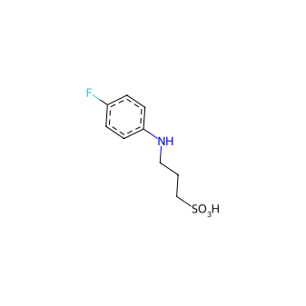 O=S(=O)(O)CCCNc1ccc(F)cc1